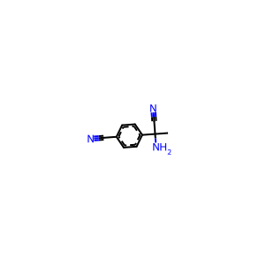 CC(N)(C#N)c1ccc(C#N)cc1